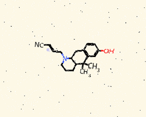 CC1(C)c2cc(O)ccc2CC2C1CCCN2C/C=C/C#N